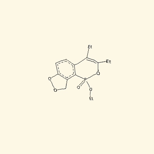 CCOP1(=O)OC(CC)=C(CC)c2ccc3c(c21)COO3